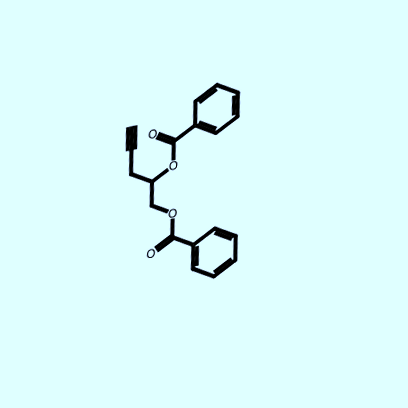 C#CCC(COC(=O)c1ccccc1)OC(=O)c1ccccc1